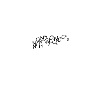 Cc1cc(C(C)N2Cc3c(ccnc3NC(=O)c3cncn3C)C2=O)cnc1OCC(F)(F)F